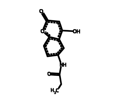 CCC(=O)Nc1ccc2oc(=O)cc(O)c2c1